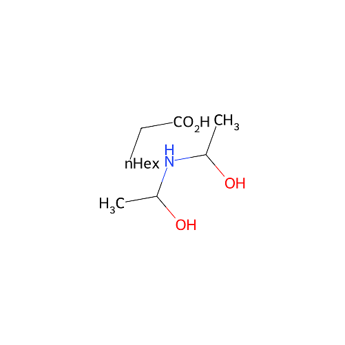 CC(O)NC(C)O.CCCCCCCC(=O)O